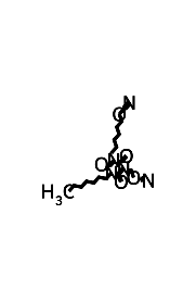 CCCCCCCn1c(=O)n(CCCCCCOC#N)c(=O)n(COC#N)c1=O